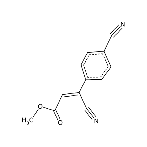 COC(=O)C=C(C#N)c1ccc(C#N)cc1